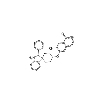 NC(c1ccccc1)C1(c2ccccc2)CCC(Oc2cc3cc[nH]c(=O)c3cc2Cl)CC1